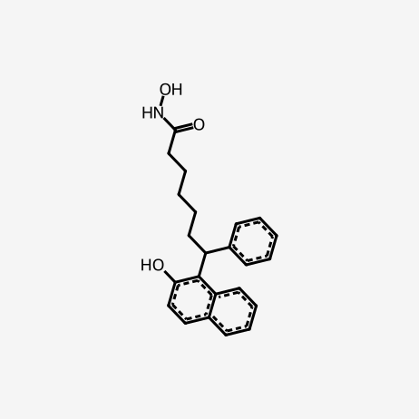 O=C(CCCCCC(c1ccccc1)c1c(O)ccc2ccccc12)NO